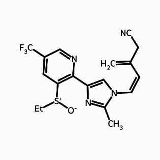 C=C(/C=C\n1cc(-c2ncc(C(F)(F)F)cc2[S+]([O-])CC)nc1C)CC#N